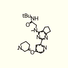 CN1CCC[C@@H](Oc2ccnc(-c3nc4c(c(N(C)CC(=O)NC(C)(C)C)n3)CCC4)c2)C1